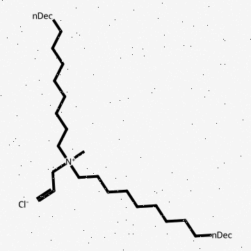 C=CC[N+](C)(CCCCCCCCCCCCCCCCCC)CCCCCCCCCCCCCCCCCCC.[Cl-]